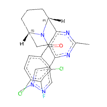 Cc1nc(-c2cnn(C)c2)c2c(n1)[C@H]1CCC[C@@H](C2)N1C(=O)c1ccc(Cl)c(F)c1Cl